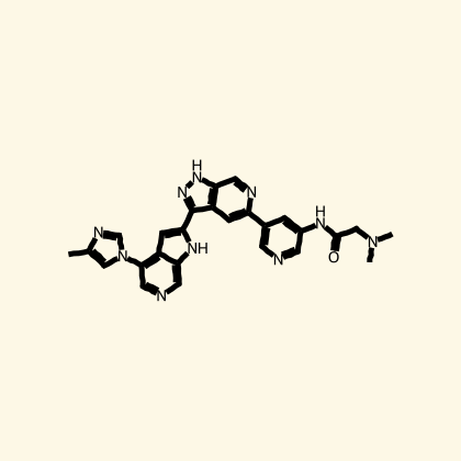 Cc1cn(-c2cncc3[nH]c(-c4n[nH]c5cnc(-c6cncc(NC(=O)CN(C)C)c6)cc45)cc23)cn1